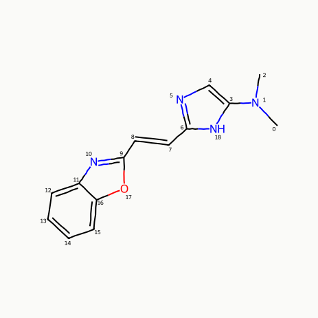 CN(C)c1cnc(C=Cc2nc3ccccc3o2)[nH]1